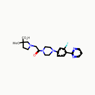 COC1(C(=O)O)CCN(CC(=O)N2CCN(c3ccc(-c4ncccn4)c(F)c3)CC2)C1